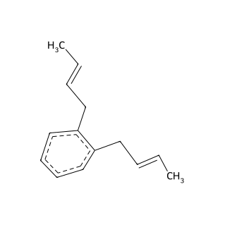 CC=CCc1ccccc1CC=CC